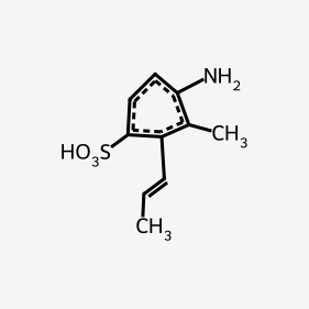 CC=Cc1c(S(=O)(=O)O)ccc(N)c1C